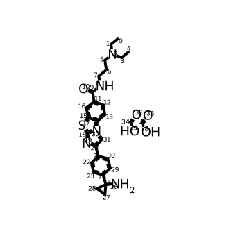 CCN(CC)CCCNC(=O)c1ccc2c(c1)sc1nc(-c3ccc(C4(N)CC4)cc3)cn12.O=CO.O=CO